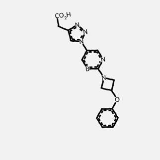 O=C(O)Cc1cn(-c2cbc(N3CC(Oc4ccccc4)C3)nc2)nn1